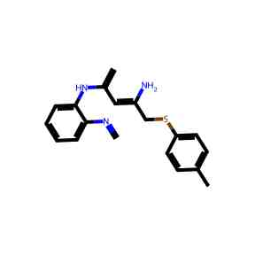 C=Nc1ccccc1NC(=C)/C=C(\N)CSc1ccc(C)cc1